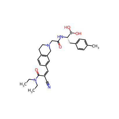 CCN(CC)C(=O)C(C#N)=Cc1ccc2c(c1)CN(CC(=O)N[C@@H](Cc1ccc(C)cc1)B(O)O)CC2